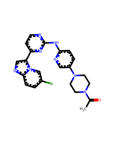 CC(=O)N1CCN(c2ccc(Nc3nccc(-c4cnc5ccc(Br)cn45)n3)nc2)CC1